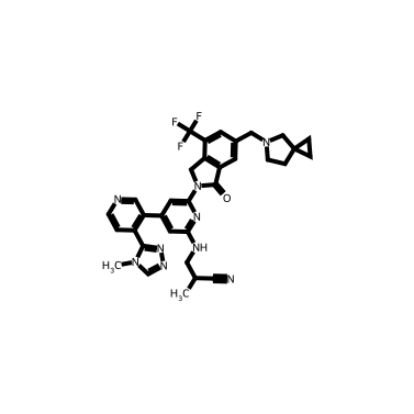 CC(C#N)CNc1cc(-c2cnccc2-c2nncn2C)cc(N2Cc3c(cc(CN4CCC5(CC5)C4)cc3C(F)(F)F)C2=O)n1